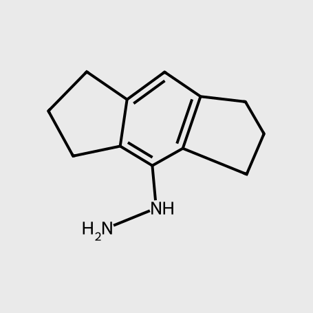 NNc1c2c(cc3c1CCC3)CCC2